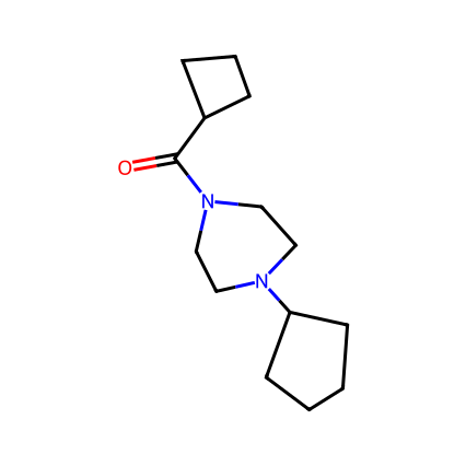 O=C(C1CCC1)N1CCN(C2CCCC2)CC1